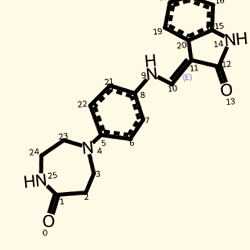 O=C1CCN(c2ccc(N/C=C3/C(=O)Nc4ccccc43)cc2)CCN1